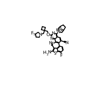 N#Cc1cc2c(N3CC4CCC(C3)N4)nc(OCC3(CN4CC[C@H](F)C4)CCC3)nc2c(F)c1-c1ccc(F)c2sc(N)c(C#N)c12